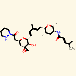 CC(=O)OC(C)C=CC(=O)N[C@@H]1C[C@H](C)[C@H](CC=C(C)C=C[C@H]2O[C@H](CC(=O)N3CCCCN3)C[C@@]3(CO3)[C@@H]2O)O[C@@H]1C